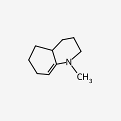 CN1CCCC2CCCC=C21